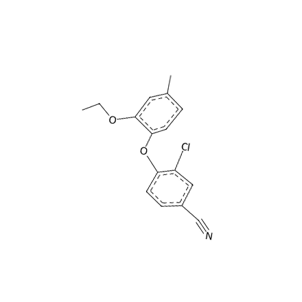 CCOc1cc(C)ccc1Oc1ccc(C#N)cc1Cl